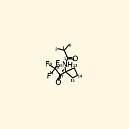 CC(C)C(=O)NC1(C(=O)C(F)(F)F)CCC1